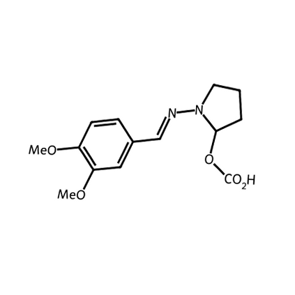 COc1ccc(/C=N/N2CCCC2OC(=O)O)cc1OC